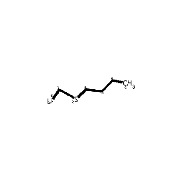 [Li][CH2]SCCCC